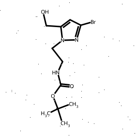 CC(C)(C)OC(=O)NCCn1nc(Br)cc1CO